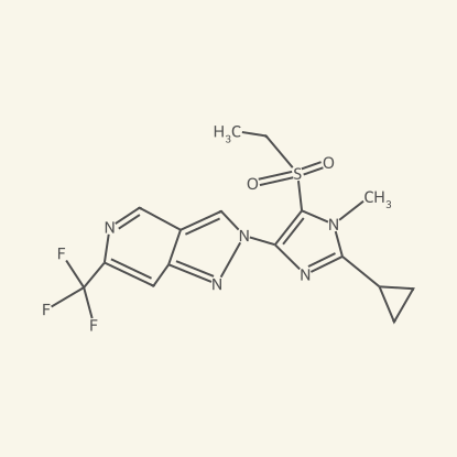 CCS(=O)(=O)c1c(-n2cc3cnc(C(F)(F)F)cc3n2)nc(C2CC2)n1C